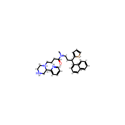 CN(CCC(c1cccs1)c1cccc2ccccc12)C(=O)CCCN1CCNCC1c1ccccn1